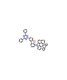 c1ccc(-c2nc(-c3ccccc3)nc(-c3ccc4oc5c(-n6c7cccc8c7c7c9c(cccc9ccc76)C86c7ccccc7-c7ccccc76)cccc5c4c3)n2)cc1